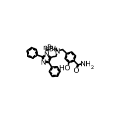 CCCCN(Cc1ccc(C(N)=O)c(O)c1)Cc1c(-c2ccccc2)nc(-c2ccccc2)n1CCCC